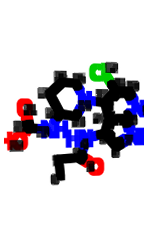 CCC(=O)Nc1c[nH]c2ncc(Cl)c(N3CCCC(NC(=O)O)C3)c12